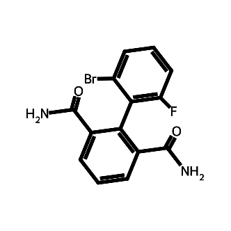 NC(=O)c1cccc(C(N)=O)c1-c1c(F)cccc1Br